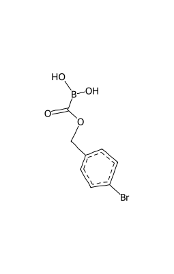 O=C(OCc1ccc(Br)cc1)B(O)O